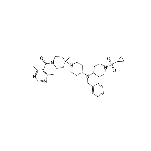 Cc1ncnc(C)c1C(=O)N1CCC(C)(N2CCC(N(Cc3ccccc3)C3CCN(S(=O)(=O)C4CC4)CC3)CC2)CC1